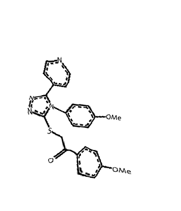 COc1ccc(C(=O)CSc2nnc(-c3ccncc3)n2-c2ccc(OC)cc2)cc1